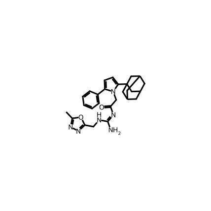 Cc1nnc(CN/C(N)=N\C(=O)Cn2c(-c3ccccc3)ccc2C23CC4CC(CC(C4)C2)C3)o1